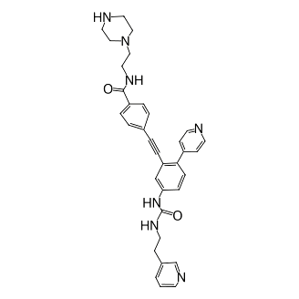 O=C(NCCc1cccnc1)Nc1ccc(-c2ccncc2)c(C#Cc2ccc(C(=O)NCCN3CCNCC3)cc2)c1